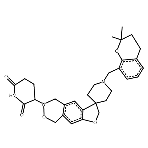 CC1(C)CCc2cccc(CN3CCC4(CC3)COc3cc5c(cc34)CN(C3CCC(=O)NC3=O)OC5)c2O1